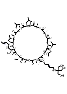 C/C=C/C[C@@H](C)[C@@H](O)[C@@H]1C(=O)N[C@@H](CC)C(=O)N(C)CC(=O)N(C)[C@@H]([C@@H](C)OC/C=C/CNC(CO)(CO)CO)C(=O)N[C@@H](C(C)C)C(=O)N(C)[C@@H](CC(C)C)C(=O)N[C@@H](C)C(=O)N[C@H](C)C(=O)N(C)[C@@H](CC(C)C)C(=O)N(C)[C@@H](CC(C)C)C(=O)N(C)[C@H](C(C)C)C(=O)N1C